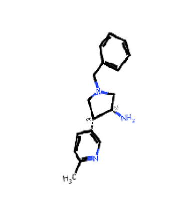 Cc1ccc([C@@H]2CN(Cc3ccccc3)C[C@H]2N)cn1